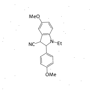 CCN1c2ccc(OC)cc2C(C#N)C1c1ccc(OC)cc1